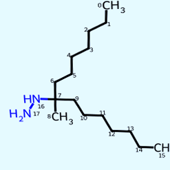 CCCCCCCC(C)(CCCCCCC)NN